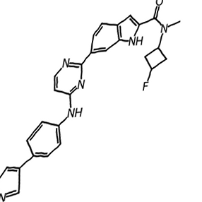 CN(C(=O)c1cc2ccc(-c3nccc(Nc4ccc(-c5cn[nH]c5)cc4)n3)cc2[nH]1)C1CC(F)C1